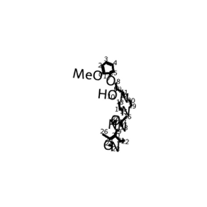 COc1ccccc1OC[C@H](O)CN1CCN(Cc2nc(-c3c(C)noc3C)no2)CC1